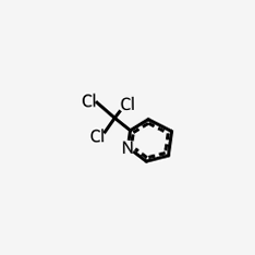 ClC(Cl)(Cl)c1ccccn1